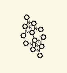 c1ccc(N2c3cccc4c3B3c5c2cccc5N(c2ccccc2)c2cc(-c5cc6c7c(c5)N(c5ccccc5)c5cccc8c5B7c5c(cccc5N6c5ccccc5)N8c5ccccc5)cc(c23)N4c2ccccc2)cc1